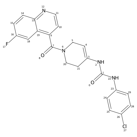 O=C(NC1=CCN(C(=O)c2ccnc3ccc(F)cc23)CC1)Nc1ccc(Cl)cc1